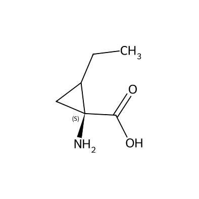 CCC1C[C@@]1(N)C(=O)O